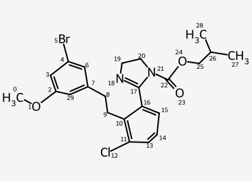 COc1cc(Br)cc(CCc2c(Cl)cccc2C2=NCCN2C(=O)OCC(C)C)c1